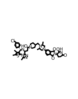 Cc1sc2c(c1C)[C@H](c1ccc(Cl)cc1)NC(CC(=O)N1CCC(CN3C(C)CN(c4ccc5c(c4)C(=O)N(C4CCC(=O)NC4=O)C5=O)CC3C)CC1)c1nnc(C)n1-2